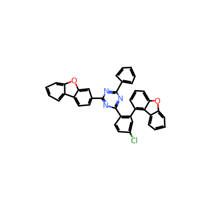 Clc1ccc(-c2nc(-c3ccccc3)nc(-c3ccc4c(c3)oc3ccccc34)n2)c(-c2cccc3oc4ccccc4c23)c1